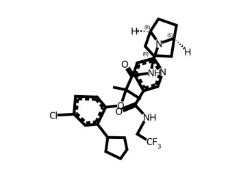 CC(C)(Oc1ccc(Cl)cc1C1CCCC1)C(=O)N[C@H]1C[C@H]2CC[C@@H](C1)N2c1ccc(C(=O)NCC(F)(F)F)cn1